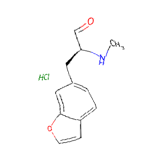 CN[C@H](C=O)Cc1ccc2ccoc2c1.Cl